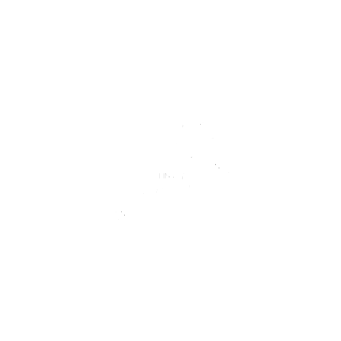 NCCONC(=O)c1ccccc1N